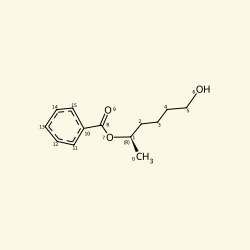 C[C@H](CCCCO)OC(=O)c1ccccc1